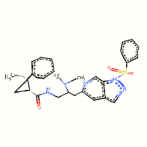 CN(C)C(CNC(=O)[C@@H]1C[C@@]1(C)c1ccccc1)Cc1cc2cnn(S(=O)(=O)c3ccccc3)c2cn1